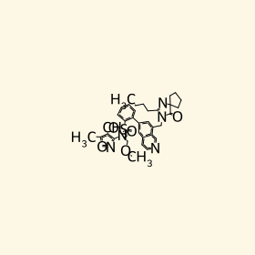 CCCCC1=NC2(CCCC2)C(=O)N1Cc1cc(-c2ccccc2S(=O)(=O)N(COC)c2noc(C)c2C)cc2ccncc12